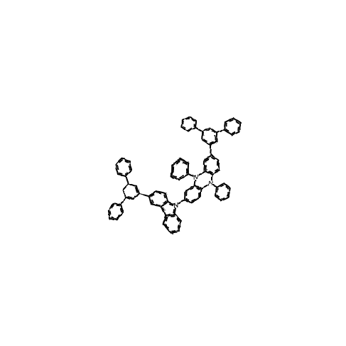 C1=C(c2ccc3c(c2)c2ccccc2n3-c2ccc3c(c2)N(c2ccccc2)c2cc(-c4cc(-c5ccccc5)cc(-c5ccccc5)c4)ccc2N3c2ccccc2)C=C(c2ccccc2)CC1c1ccccc1